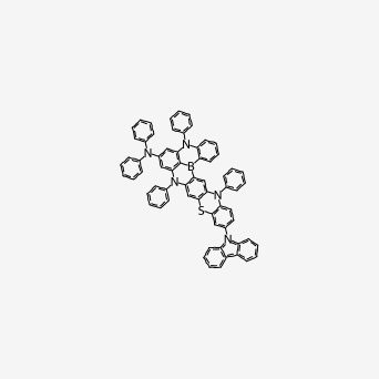 c1ccc(N(c2ccccc2)c2cc3c4c(c2)N(c2ccccc2)c2cc5c(cc2B4c2ccccc2N3c2ccccc2)N(c2ccccc2)c2ccc(-n3c4ccccc4c4ccccc43)cc2S5)cc1